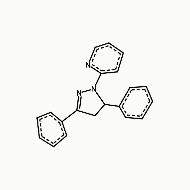 c1ccc(C2=NN(c3ccccn3)C(c3ccccc3)C2)cc1